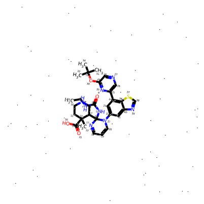 CCNC(=O)NC1(C2CNCCC2(C)C(=O)O)N=CC=CN1c1cc(-c2cncc(OC(C)(C)C)n2)c2scnc2c1